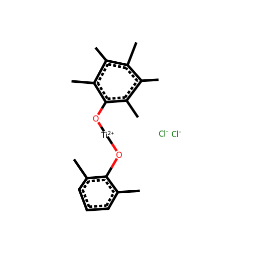 Cc1cccc(C)c1[O][Ti+2][O]c1c(C)c(C)c(C)c(C)c1C.[Cl-].[Cl-]